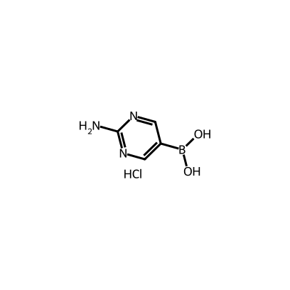 Cl.Nc1ncc(B(O)O)cn1